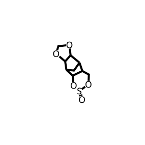 O=S1OCC2C3CC(C2O1)C1OCOC31